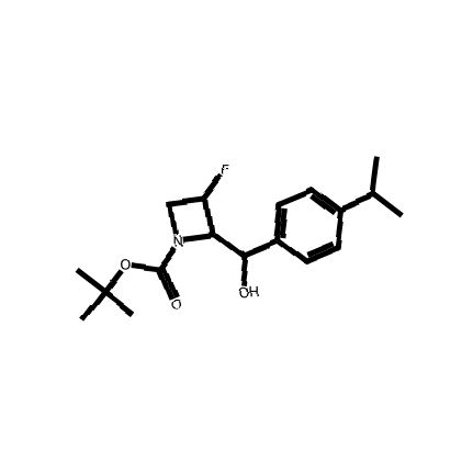 CC(C)c1ccc(C(O)C2C(F)CN2C(=O)OC(C)(C)C)cc1